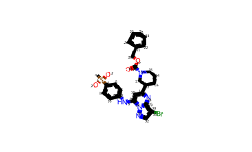 CS(=O)(=O)c1ccc(Nc2cc(C3CCCN(C(=O)OCc4ccccc4)C3)nc3c(Br)cnn23)cc1